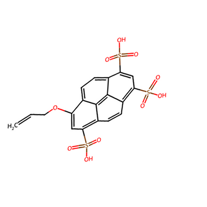 C=CCOc1cc(S(=O)(=O)O)c2ccc3c(S(=O)(=O)O)cc(S(=O)(=O)O)c4ccc1c2c43